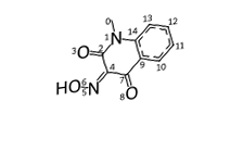 CN1C(=O)C(=NO)C(=O)c2ccccc21